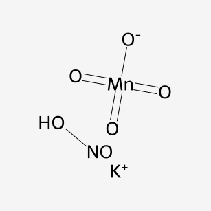 O=NO.[K+].[O]=[Mn](=[O])(=[O])[O-]